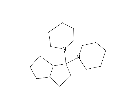 C1CCN(C2(N3CCCCC3)CCC3CCCC32)CC1